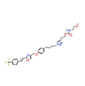 COCCNC(=O)OCCc1cn(CCCCc2ccc(OCc3coc(/C=C/c4ccc(C(F)(F)F)cc4)n3)cc2)nn1